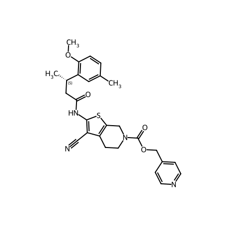 COc1ccc(C)cc1[C@@H](C)CC(=O)Nc1sc2c(c1C#N)CCN(C(=O)OCc1ccncc1)C2